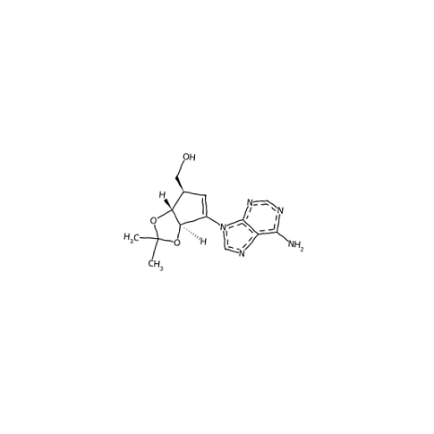 CC1(C)O[C@@H]2[C@@H](CO)C=C(n3cnc4c(N)ncnc43)[C@H]2O1